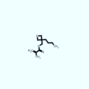 C=C(C)C(=O)OCC1(CCCC)COC1